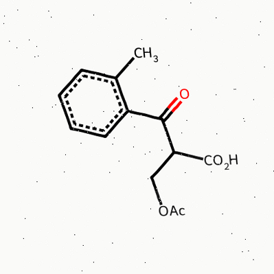 CC(=O)OCC(C(=O)O)C(=O)c1ccccc1C